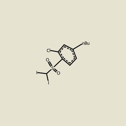 CCCCc1ccc(S(=O)(=O)C(I)I)c(Cl)c1